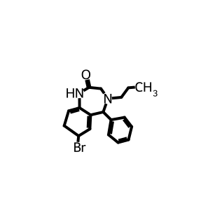 CCCN1CC(=O)NC2=CCC(Br)C=C2C1c1ccccc1